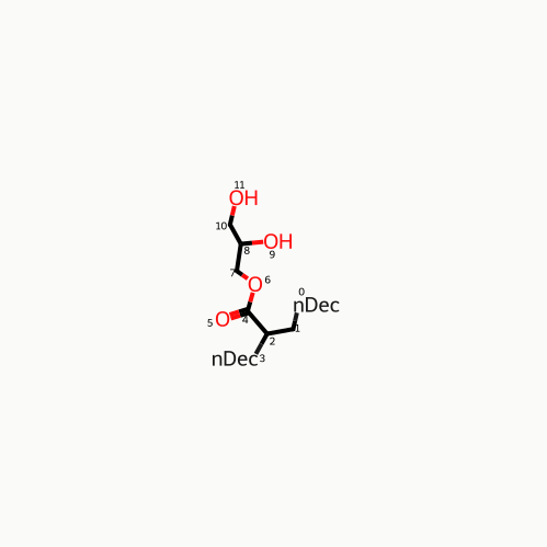 CCCCCCCCCCCC(CCCCCCCCCC)C(=O)OCC(O)CO